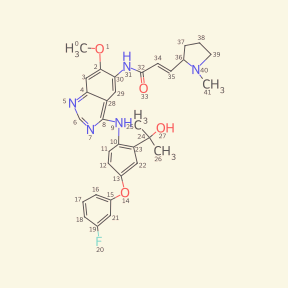 COc1cc2ncnc(Nc3ccc(Oc4cccc(F)c4)cc3C(C)(C)O)c2cc1NC(=O)C=CC1CCCN1C